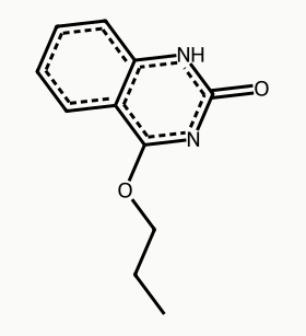 CCCOc1nc(=O)[nH]c2ccccc12